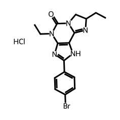 CCC1CN2C(=O)N(CC)c3nc(-c4ccc(Br)cc4)[nH]c3C2=N1.Cl